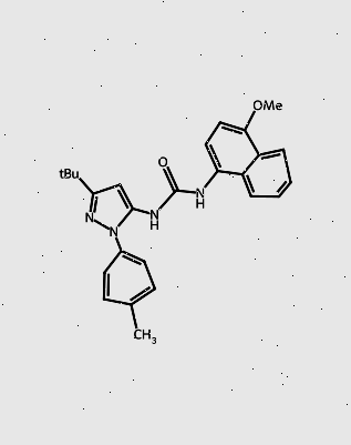 COc1ccc(NC(=O)Nc2cc(C(C)(C)C)nn2-c2ccc(C)cc2)c2ccccc12